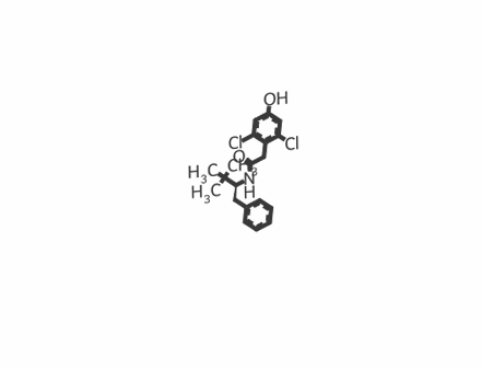 CC(C)(C)[C@H](Cc1ccccc1)NC(=O)Cc1c(Cl)cc(O)cc1Cl